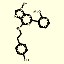 COc1ncccc1-c1nc(NCCc2ccc(O)cc2)c2ncn(C(C)C)c2n1